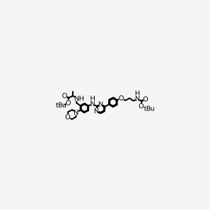 CC(NCc1cc(Nc2nccc(-c3ccc(OCCCNC(=O)OC(C)(C)C)cc3)n2)ccc1N1CCOCC1)C(=O)OC(C)(C)C